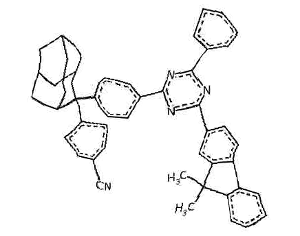 CC1(C)c2ccccc2-c2ccc(-c3nc(-c4ccccc4)nc(-c4ccc(C5(c6ccc(C#N)cc6)C6CC7CC(C6)CC5C7)cc4)n3)cc21